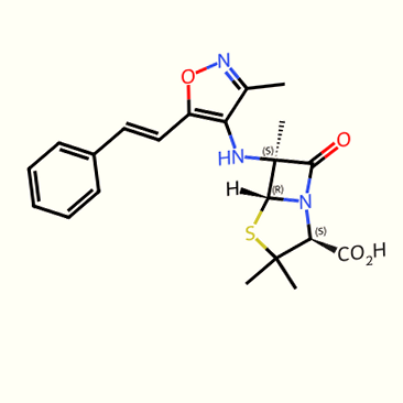 Cc1noc(C=Cc2ccccc2)c1N[C@@]1(C)C(=O)N2[C@@H](C(=O)O)C(C)(C)S[C@@H]21